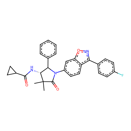 CC1(C)C(=O)N(c2ccc3c(-c4ccc(F)cc4)noc3c2)C(c2ccccc2)[C@H]1NC(=O)C1CC1